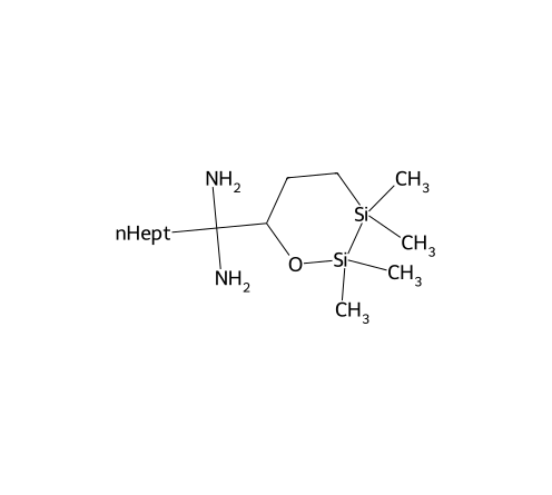 CCCCCCCC(N)(N)C1CC[Si](C)(C)[Si](C)(C)O1